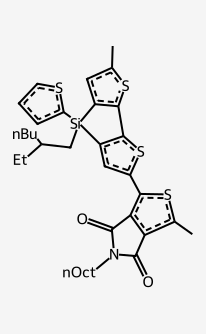 CCCCCCCCN1C(=O)c2c(C)sc(-c3cc4c(s3)-c3sc(C)cc3[Si]4(CC(CC)CCCC)c3cccs3)c2C1=O